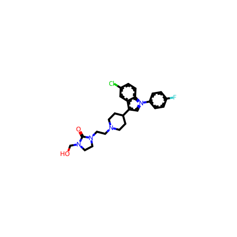 O=C1N(CO)CCN1CCN1CCC(c2cn(-c3ccc(F)cc3)c3ccc(Cl)cc23)CC1